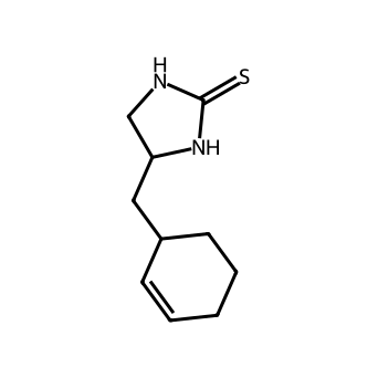 S=C1NCC(CC2C=CCCC2)N1